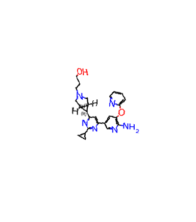 Nc1ncc(-c2cc([C@H]3[C@@H]4CN(CCCO)C[C@@H]43)nc(C3CC3)n2)cc1Oc1ccccn1